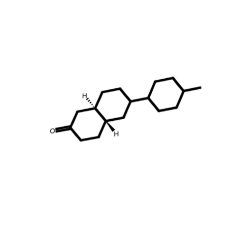 CC1CCC(C2CC[C@@H]3CC(=O)CC[C@H]3C2)CC1